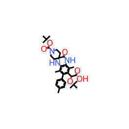 Cc1ccc(-c2c(C)c3c(c(C)c2C(OC(C)(C)C)C(=O)O)NC(=O)C2(CCN(C(=O)OC(C)(C)C)CC2)N3)cc1